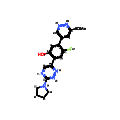 COc1cc(-c2cc(O)c(-c3cnc(N4CCCC4)nn3)cc2F)cnn1